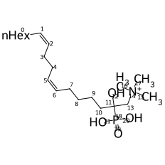 CCCCCC/C=C\CC/C=C\CCCCC(O)(C[N+](C)(C)C)P(=O)(O)O